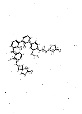 COc1cc(-c2nccc(-c3cccc(Nc4cccc(CN5CC6(CCC(=O)N6)C5)c4F)c3Cl)c2Cl)ccc1CNC[C@H]1CCC(=O)N1